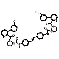 Cc1cccc(-c2cccnc2C(=O)N2CCC[C@H]2C(=O)Nc2ccc(/C=C/c3ccc(NC(=O)[C@@H]4CCCN4C(=O)c4ncccc4-c4cccc(Cl)c4)cc3)cc2)c1